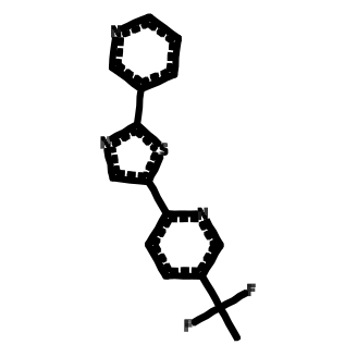 CC(F)(F)c1ccc(-c2cnc(-c3cccnc3)s2)nc1